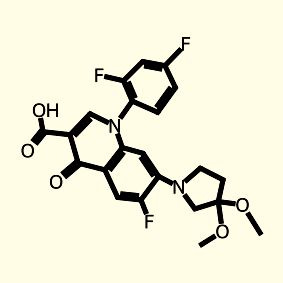 COC1(OC)CCN(c2cc3c(cc2F)c(=O)c(C(=O)O)cn3-c2ccc(F)cc2F)C1